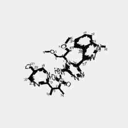 COCC(COC)n1c(NS(=O)(=O)C(C)C(C)c2ncc(Cl)cn2)nnc1-c1nn(C)c2ccccc12